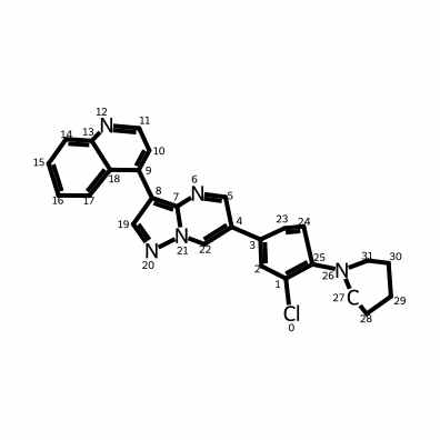 Clc1cc(-c2cnc3c(-c4ccnc5ccccc45)cnn3c2)ccc1N1CCCCC1